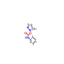 O=C(Nc1ccccc1)On1nccc1I